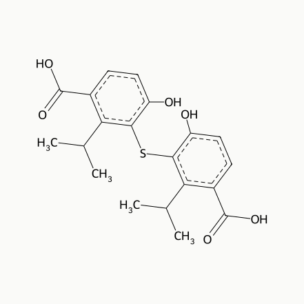 CC(C)c1c(C(=O)O)ccc(O)c1Sc1c(O)ccc(C(=O)O)c1C(C)C